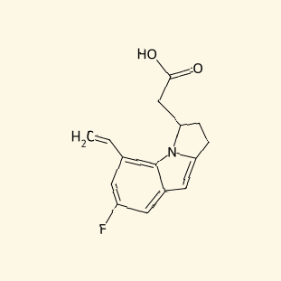 C=Cc1cc(F)cc2cc3n(c12)C(CC(=O)O)CC3